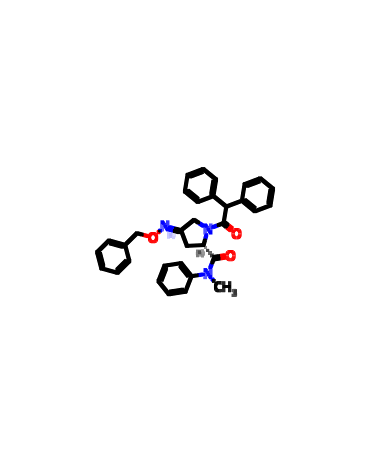 CN(C(=O)[C@@H]1C/C(=N\OCc2ccccc2)CN1C(=O)C(c1ccccc1)c1ccccc1)c1ccccc1